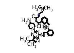 CC(C)c1cnn2c(NCc3ccccc3-n3cc4cccc([C@H](C)CC(=O)/C=C/CN(C)C)c4n3)nc(N3CCC(N)CC3)nc12